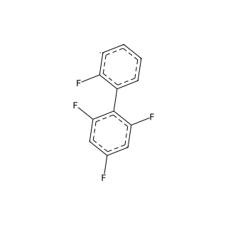 Fc1cc(F)c(-c2ccc[c]c2F)c(F)c1